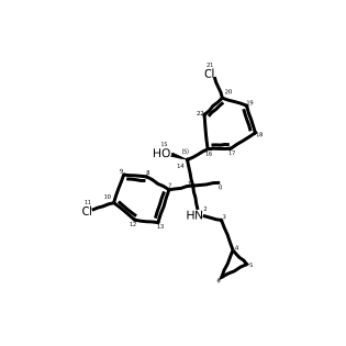 CC(NCC1CC1)(c1ccc(Cl)cc1)[C@@H](O)c1cccc(Cl)c1